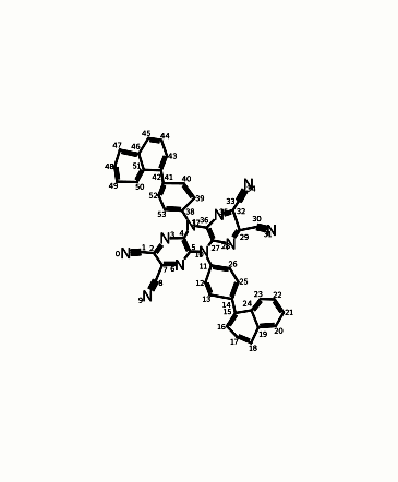 N#Cc1nc2c(nc1C#N)N(c1ccc(-c3cccc4ccccc34)cc1)c1nc(C#N)c(C#N)nc1N2c1ccc(-c2cccc3ccccc23)cc1